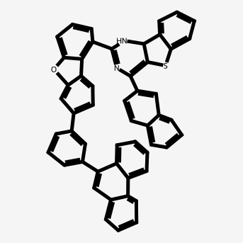 c1cc(-c2ccc3c(c2)oc2cccc(C4=NC(c5ccc6ccccc6c5)=C5Sc6ccccc6C5N4)c23)cc(-c2cc3ccccc3c3ccccc23)c1